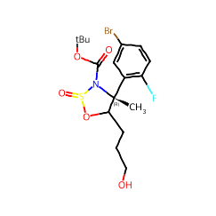 CC(C)(C)OC(=O)N1S(=O)OC(CCCO)[C@@]1(C)c1cc(Br)ccc1F